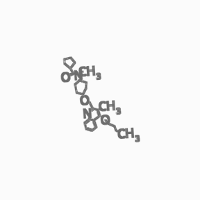 CCCCOc1c(C)c(CO[C@H]2CC[C@H](N(C)C(=O)C3CCCC3)CC2)nc2ccccc12